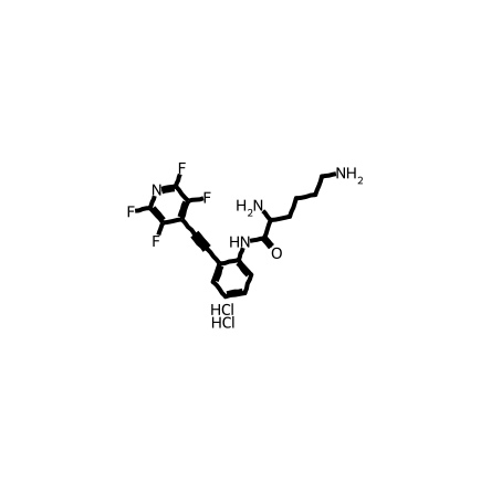 Cl.Cl.NCCCCC(N)C(=O)Nc1ccccc1C#Cc1c(F)c(F)nc(F)c1F